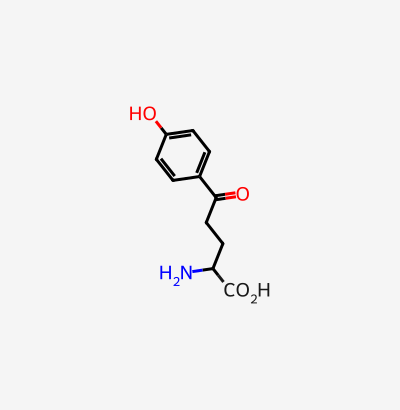 NC(CCC(=O)c1ccc(O)cc1)C(=O)O